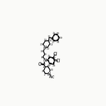 CC(=O)N1CCC(C(=O)N(CCCN2CCC(Cc3ccccc3)CC2)c2ccc(Cl)c(Cl)c2)CC1